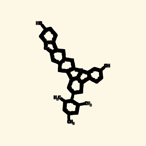 Cc1cc(C)c(-c2cc3c4ccc(O)cc4n4c5cc6cc7c(cc6cc5c(c2)c34)oc2cc(O)ccc27)c(C)c1